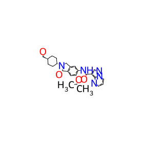 CC(C)Oc1cc2c(cc1NC(=O)c1cnn3cccnc13)CN([C@H]1CC[C@H](C=O)CC1)C2=O